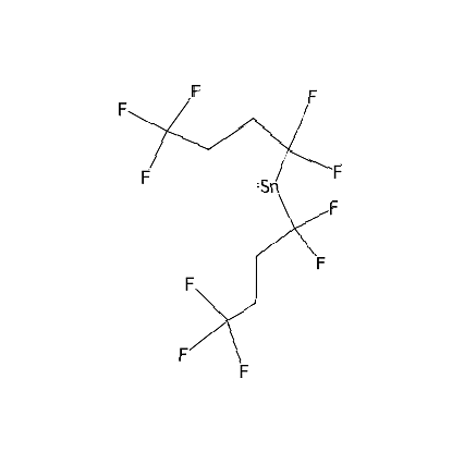 FC(F)(F)CC[C](F)(F)[Sn][C](F)(F)CCC(F)(F)F